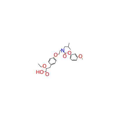 CCOC(Cc1ccc(OCCN(CC(C)C)C(=O)Oc2cccc(OC)c2)cc1)C(=O)O